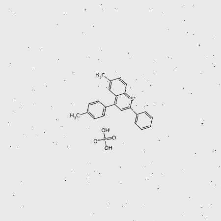 Cc1ccc(-c2cc(-c3ccccc3)[s+]c3ccc(C)cc23)cc1.O=P([O-])(O)O